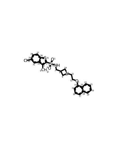 Cc1c(S(=O)(=O)NCC2CN(CCOc3cccc4ccccc34)C2)sc2ccc(Cl)cc12